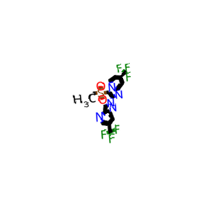 CCS(=O)(=O)c1c(-n2cc3ncc(C(F)(F)F)cc3n2)nc2cc(C(F)(F)F)ccn12